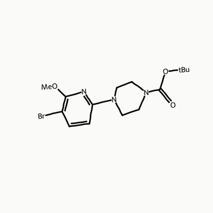 COc1nc(N2CCN(C(=O)OC(C)(C)C)CC2)ccc1Br